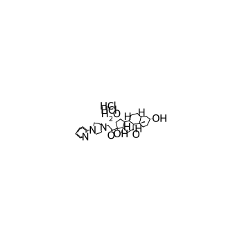 C[C@]12CC[C@@H](O)C[C@H]1CC[C@@H]1[C@@H]2C(=O)C[C@@]2(C)[C@H]1CC[C@]2(O)C(=O)CN1CCN(c2ccccn2)CC1.Cl.Cl.O